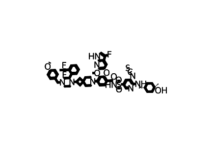 COc1ccc(CN2CCN(C3CC4(CCN(c5ccc(C(=O)NS(=O)(=O)c6cnc(NC[C@H]7CC[C@](C)(O)CC7)c(N=C=S)c6)c(Oc6cc7c(F)c[nH]c7nc6OC)c5)CC4)C3)C(c3ccccc3C(C)(F)F)C2)cc1